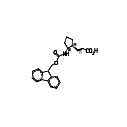 O=C(O)/C=C/[C@@H]1CCC[C@H]1NC(=O)OCC1c2ccccc2-c2ccccc21